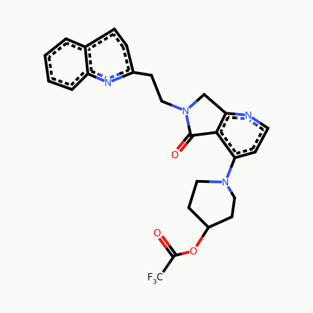 O=C1c2c(N3CCC(OC(=O)C(F)(F)F)CC3)ccnc2CN1CCc1ccc2ccccc2n1